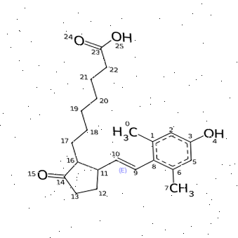 Cc1cc(O)cc(C)c1/C=C/C1CCC(=O)C1CCCCCCC(=O)O